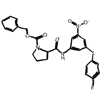 O=C(Nc1cc(Sc2ccc(F)cc2)cc([N+](=O)[O-])c1)C1CCCN1C(=O)OCc1ccccc1